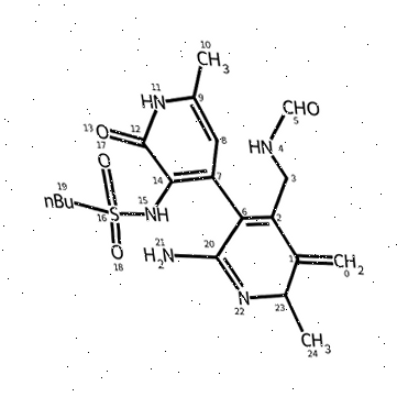 C=C1C(CNC=O)=C(c2cc(C)[nH]c(=O)c2NS(=O)(=O)CCCC)C(N)=NC1C